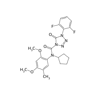 COc1cc(OC)c(N(C(=O)n2nnn(-c3c(F)cccc3F)c2=O)C2CCCC2)cc1C